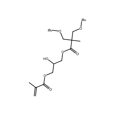 C=C(C)C(=O)OCC(O)COC(=O)C(C)(COC(C)CC)COC(C)CC